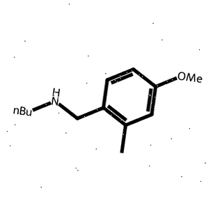 CCCCNCc1ccc(OC)cc1C